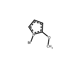 COc1cccn1Br